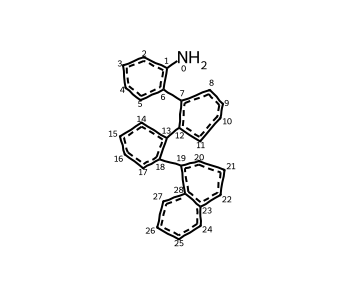 Nc1ccccc1-c1ccccc1-c1ccccc1-c1cccc2ccccc12